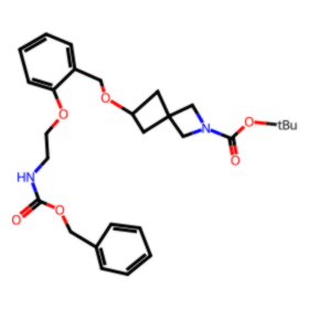 CC(C)(C)OC(=O)N1CC2(CC(OCc3ccccc3OCCNC(=O)OCc3ccccc3)C2)C1